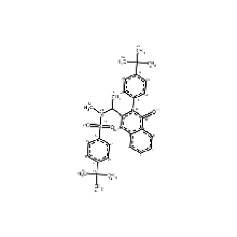 CC(c1nc2ccccc2c(=O)n1-c1ccc(C(C)(C)C)cc1)N(C)S(=O)(=O)c1ccc(C(C)(C)C)cc1